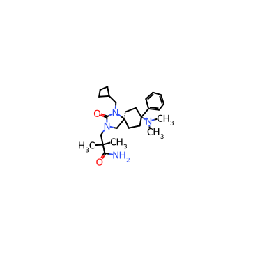 CN(C)[C@]1(c2ccccc2)CC[C@]2(CC1)CN(CC(C)(C)C(N)=O)C(=O)N2CC1CCC1